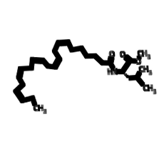 CC/C=C\C/C=C\C/C=C\C/C=C\C/C=C\CCCCCC(=O)N[C@@H](CC(C)C)C(=O)OC